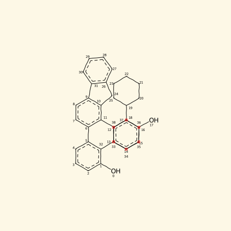 Oc1cccc(-c2ccc3c(c2-c2cccc(O)c2C2CCCCC2)Cc2ccccc2-3)c1C1CCCCC1